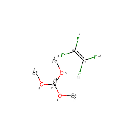 CCO[SiH](OCC)OCC.FC(F)=C(F)F